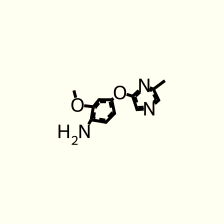 COc1cc(Oc2cncc(C)n2)ccc1N